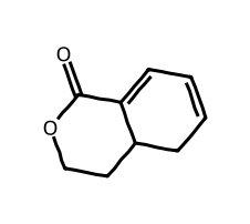 O=C1OCCC2CC=CC=C12